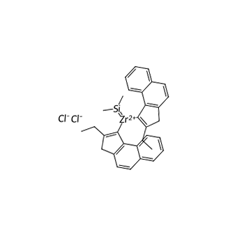 CCC1=[C]([Zr+2]([C]2=C(CC)Cc3ccc4ccccc4c32)=[Si](C)C)c2c(ccc3ccccc23)C1.[Cl-].[Cl-]